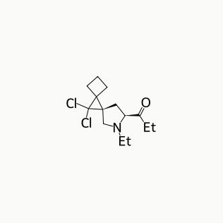 CCC(=O)[C@@H]1C[C@@]2(CN1CC)C(Cl)(Cl)C21CCC1